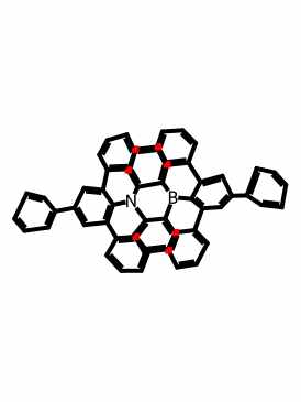 c1ccc(-c2cc(-c3ccccc3)c(B3c4ccccc4N(c4c(-c5ccccc5)cc(-c5ccccc5)cc4-c4ccccc4)c4ccccc43)c(-c3ccccc3)c2)cc1